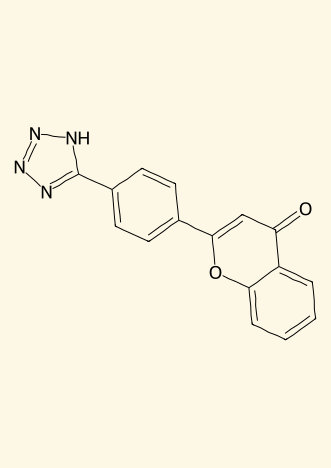 O=c1cc(-c2ccc(-c3nnn[nH]3)cc2)oc2ccccc12